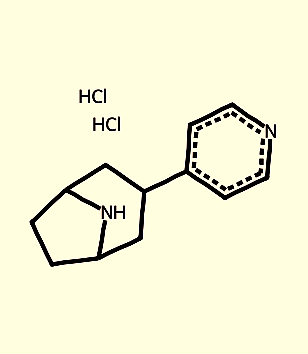 Cl.Cl.c1cc(C2CC3CCC(C2)N3)ccn1